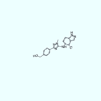 Cn1nc(-c2ccc(CO)cc2)nc1Nc1ccc2[nH]ncc2c1Cl